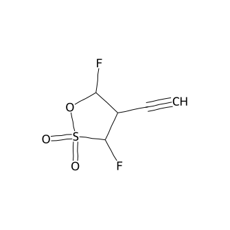 C#CC1C(F)OS(=O)(=O)C1F